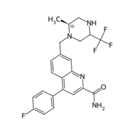 C[C@H]1CNC(C(F)(F)F)CN1Cc1ccc2c(-c3ccc(F)cc3)cc(C(N)=O)nc2c1